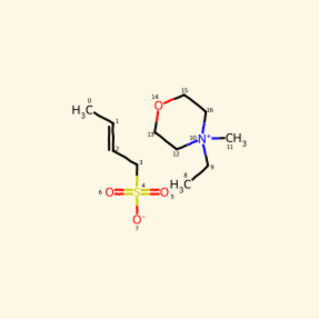 CC=CCS(=O)(=O)[O-].CC[N+]1(C)CCOCC1